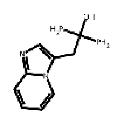 OC(P)(P)Cc1cnc2ccccn12